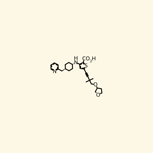 CC(C)(C#Cc1cc(N[C@H]2CC[C@H](Cc3ccccn3)CC2)c(C(=O)O)s1)COC1CCOC1